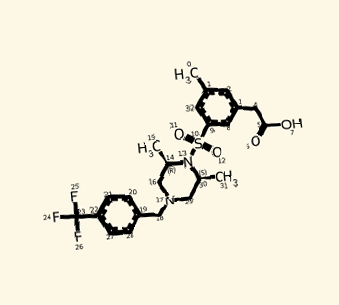 Cc1cc(CC(=O)O)cc(S(=O)(=O)N2[C@H](C)CN(Cc3ccc(C(F)(F)F)cc3)C[C@@H]2C)c1